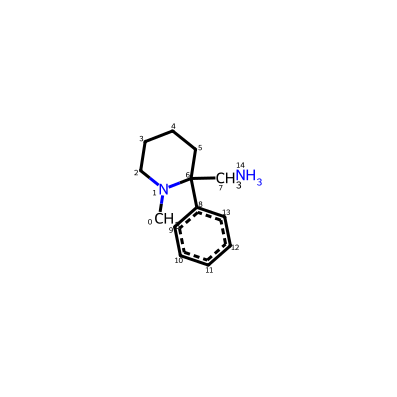 CN1CCCCC1(C)c1ccccc1.N